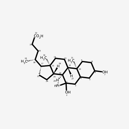 CCCC1(O)CC2CC(O)CC[C@]2(C)[C@H]2CC[C@]3(C)[C@@H]([C@H](C)CCC(=O)O)CC[C@H]3[C@@H]21